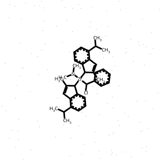 CC1=Cc2c(C(C)C)cccc2[CH]1[Zr]([CH](Cl)c1ccccc1)([CH]1C(C)=Cc2c(C(C)C)cccc21)[Si](C)C